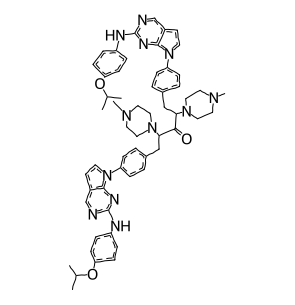 CC(C)Oc1ccc(Nc2ncc3ccn(-c4ccc(CC(C(=O)C(Cc5ccc(-n6ccc7cnc(Nc8ccc(OC(C)C)cc8)nc76)cc5)N5CCN(C)CC5)N5CCN(C)CC5)cc4)c3n2)cc1